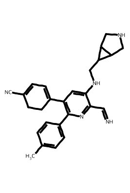 Cc1ccc(-c2nc(C=N)c(NCC3C4CNCC43)cc2C2=CC=C(C#N)CC2)cc1